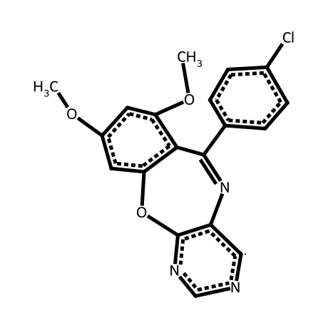 COc1cc(OC)c2c(c1)Oc1ncn[c]c1N=C2c1ccc(Cl)cc1